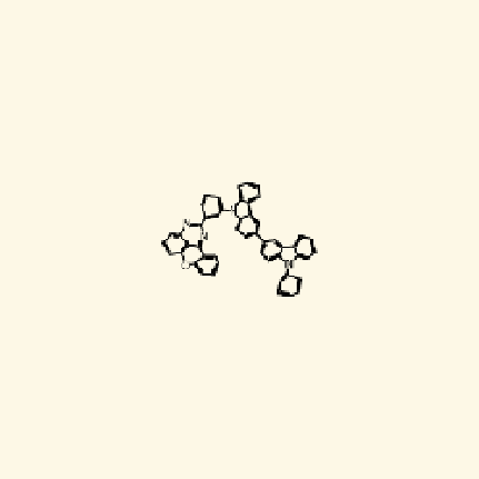 c1ccc(-n2c3ccccc3c3cc(-c4ccc5c(c4)c4ccccc4n5-c4cccc(-c5nc6c7c(cccc7n5)Oc5ccccc5-6)c4)ccc32)cc1